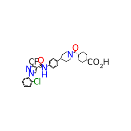 O=C(Nc1ccc(C2CCN(C(=O)[C@H]3CC[C@@H](C(=O)O)CC3)CC2)cc1)c1cn(-c2ccccc2Cl)nc1C(F)(F)F